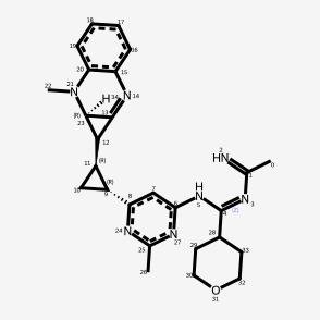 CC(=N)/N=C(\Nc1cc([C@@H]2C[C@H]2C2C3=Nc4ccccc4N(C)[C@@H]32)nc(C)n1)C1CCOCC1